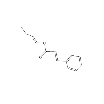 CC/C=C/OC(=O)/C=C/c1ccccc1